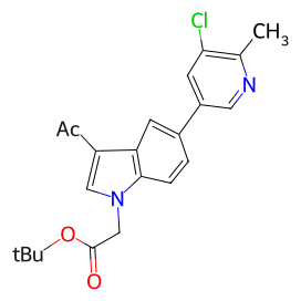 CC(=O)c1cn(CC(=O)OC(C)(C)C)c2ccc(-c3cnc(C)c(Cl)c3)cc12